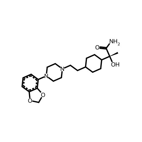 C[C@](O)(C(N)=O)C1CCC(CCN2CCN(c3cccc4c3OCO4)CC2)CC1